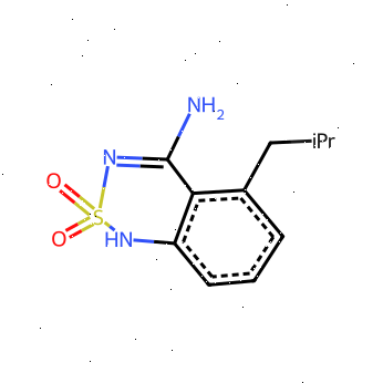 CC(C)Cc1cccc2c1C(N)=NS(=O)(=O)N2